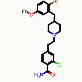 CCOc1ccc(Br)c(CC2CCN(CCc3ccc(C(N)=O)c(Cl)c3)CC2)c1